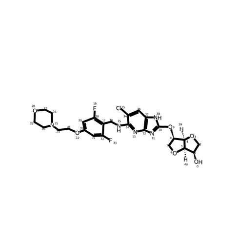 O[C@@H]1CO[C@H]2[C@@H]1OC[C@H]2Oc1nc2nc(NCc3c(F)cc(OCCN4CCOCC4)cc3F)c(Cl)cc2[nH]1